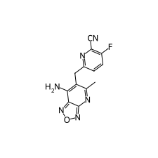 Cc1nc2nonc2c(N)c1Cc1ccc(F)c(C#N)n1